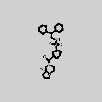 O=C(c1cccc(S(=O)(=O)NCC(c2ccccc2)c2ccccc2)c1)N1CCN2CCC[C@H]2C1